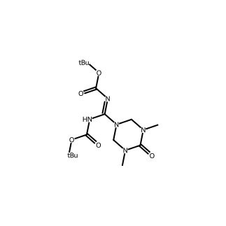 CN1CN(/C(=N/C(=O)OC(C)(C)C)NC(=O)OC(C)(C)C)CN(C)C1=O